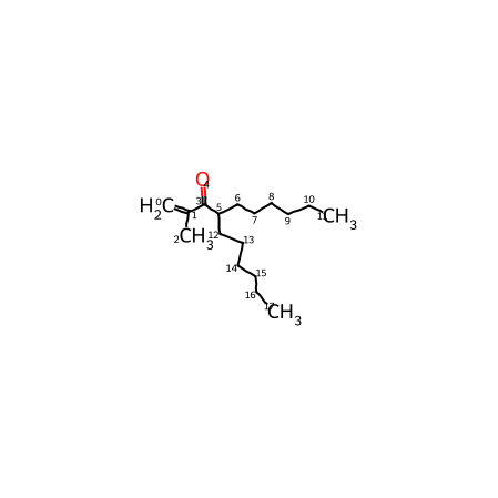 C=C(C)C(=O)C(CCCCCC)CCCCCC